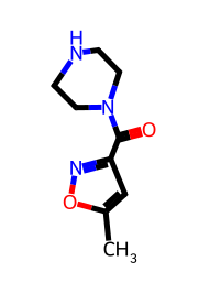 Cc1cc(C(=O)N2CCNCC2)no1